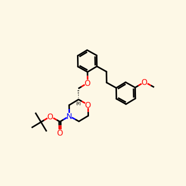 COc1cccc(CCc2ccccc2OC[C@H]2CN(C(=O)OC(C)(C)C)CCO2)c1